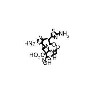 Cc1ncsc1C=CC1(C(=O)O)C(=NO)S[C@@H]2CC(=O)N2C1NC(=O)Cc1csc(N)n1.[NaH]